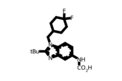 CC(C)(C)c1nc2cc(NC(=O)O)ccc2n1CC1CCC(F)(F)CC1